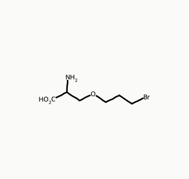 NC(COCCCBr)C(=O)O